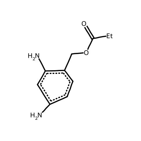 CCC(=O)OCc1ccc(N)cc1N